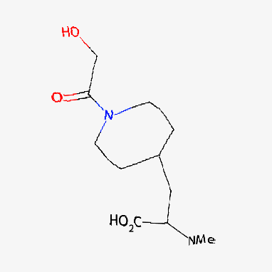 CNC(CC1CCN(C(=O)CO)CC1)C(=O)O